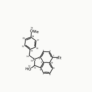 CCc1ccc2c3c(cccc13)C(O)N2Cc1ccc(OC)cc1